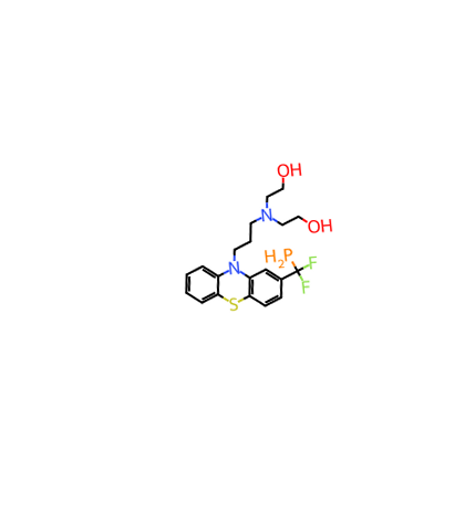 OCCN(CCO)CCCN1c2ccccc2Sc2ccc(C(F)(F)P)cc21